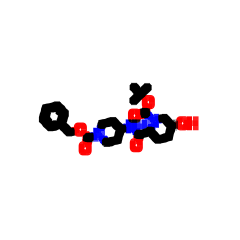 CC(C)(C)OC(=O)N1C[C@@H](O)CCC1C(=O)NC1CCN(C(=O)OCc2ccccc2)CC1